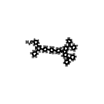 Cc1cccc(-c2nc(-c3ccccc3)cc(-c3ccc(-c4ccc(-c5ccc(-n6c7ccc(N(c8ccccc8)c8ccccc8)cc7c7cc(N(c8ccccc8)c8ccccc8)ccc76)cc5)cc4)cc3)n2)c1